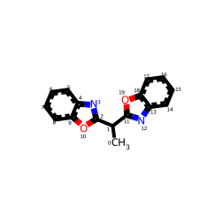 CC(c1nc2ccccc2o1)c1nc2ccccc2o1